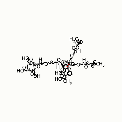 C=CS(=O)(=O)CCOC(=O)NCCOCCOCCNC(=O)C(CC(C)C(=O)NCCOCCOCCNC(=O)CN1CCN(CC(=O)O)CCN(CC(=O)O)CCN(CC(=O)O)CC1)CC(CC(CC(CC(C)C(=O)O)c1ccccc1)C(=O)O)C(=O)NCCOCCOCCNC(=O)OCCS(=O)(=O)C=C